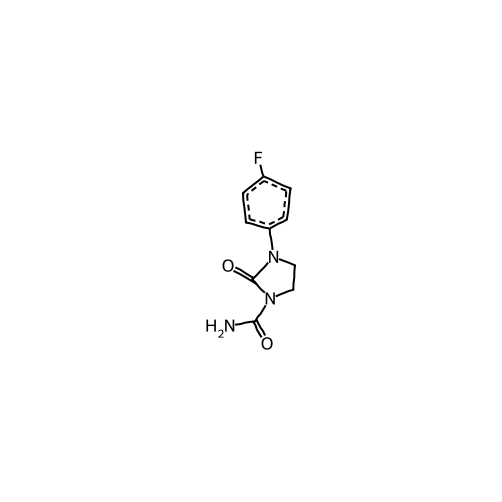 NC(=O)N1CCN(c2ccc(F)cc2)C1=O